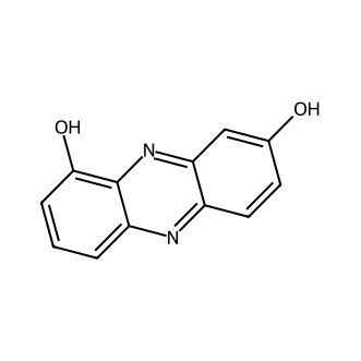 Oc1ccc2nc3cccc(O)c3nc2c1